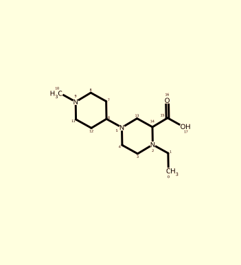 CCN1CCN(C2CCN(C)CC2)CC1C(=O)O